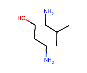 CC(C)CN.NCCCO